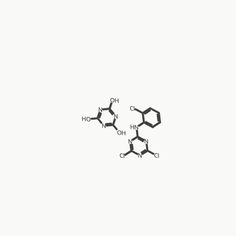 Clc1nc(Cl)nc(Nc2ccccc2Cl)n1.Oc1nc(O)nc(O)n1